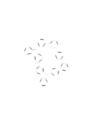 C1=CC(c2ccc(-c3ccccc3)cc2)NC(c2cccc(-n3c4ccccc4c4cc(-c5ccc6c7ccccc7n(-c7ccccc7)c6c5)ccc43)c2)=C1